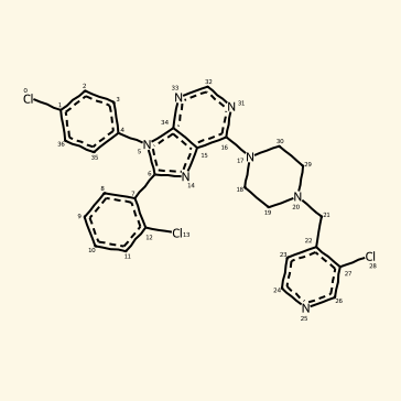 Clc1ccc(-n2c(-c3ccccc3Cl)nc3c(N4CCN(Cc5ccncc5Cl)CC4)ncnc32)cc1